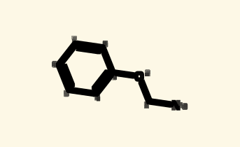 [N]COc1ccccc1